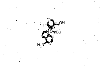 CCCCOC1[C@@H]2OC[C@]1(CO)O[C@H]2n1cnc2c(N)ncnc21